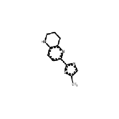 Cc1cnc(-c2ccc3c(n2)CCCN3)s1